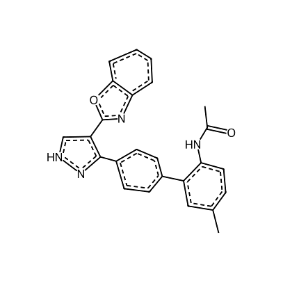 CC(=O)Nc1ccc(C)cc1-c1ccc(-c2n[nH]cc2-c2nc3ccccc3o2)cc1